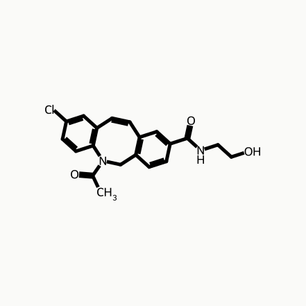 CC(=O)N1Cc2ccc(C(=O)NCCO)cc2C=Cc2cc(Cl)ccc21